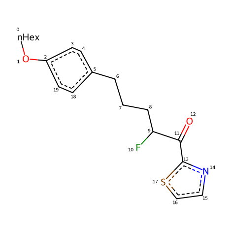 CCCCCCOc1ccc(CCCC(F)C(=O)c2nccs2)cc1